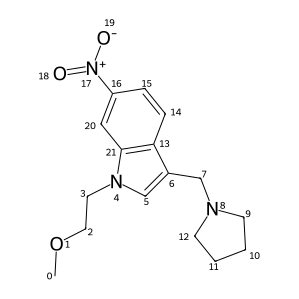 COCCn1cc(CN2CCCC2)c2ccc([N+](=O)[O-])cc21